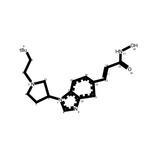 CC(C)(C)CCN1CCC(n2cnc3cc(/C=C/C(=O)NO)ccc32)C1